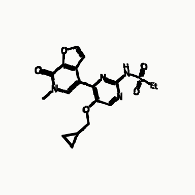 CCS(=O)(=O)Nc1ncc(OCC2CC2)c(-c2cn(C)c(=O)c3occc23)n1